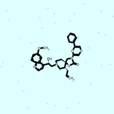 C=CC[C@@H]1CN(C[C@@H](O)c2ccnc3ccc(OC)cc23)CC[C@]12CN(C1=COC=C(C3=CC=CCC3)O1)C(=O)O2